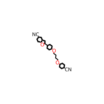 N#Cc1ccc(OCCCCOc2ccc(-c3cc4cc(C#N)ccc4o3)cc2)cc1